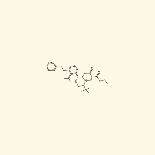 CCOC(=O)C1=CN2C(CC1=O)/C(=c1\cccc(CCc3ccccc3)c1=C(C)C)N(C)CC2C(C)(C)C